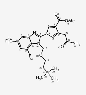 COC(=O)c1cn(-c2nc3cc(C(F)(F)F)cc(F)c3n2COCC[Si](C)(C)C)cc1CC(N)=O